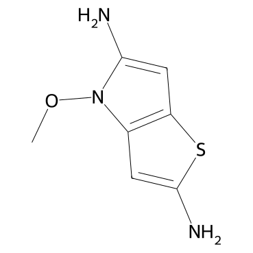 COn1c(N)cc2sc(N)cc21